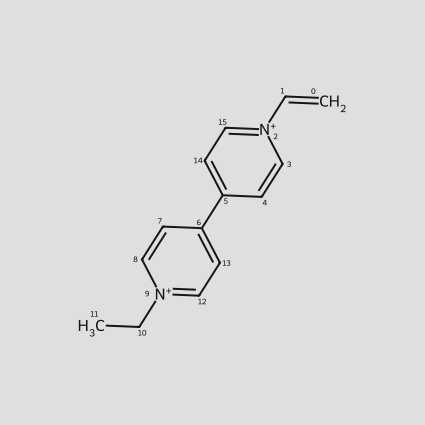 C=C[n+]1ccc(-c2cc[n+](CC)cc2)cc1